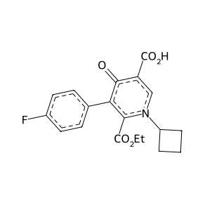 CCOC(=O)c1c(-c2ccc(F)cc2)c(=O)c(C(=O)O)cn1C1CCC1